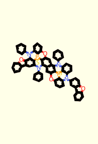 S=P12c3c4cccc3N(c3ccc5oc6ccccc6c5c3)c3cccc(c31)N(c1ccccc1)c1c2c(cc2c3c5c(cc12)Oc1cccc2c1P5(=S)c1c(cc5c(oc6ccccc65)c1N2c1ccccc1)N3c1ccccc1)O4